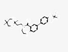 CC1(C)COC(C)(CCN2CCOc3ccc(-c4ccc(OC(F)(F)F)cc4)cc3C2=O)OC1